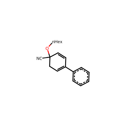 CCCCCCOC1(C#N)C=CC(c2ccccc2)=CC1